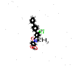 CCN(C(=O)c1ccc(Cl)c(-c2ccc(-c3ccccc3)cc2)c1)c1ccc2c(c1)OCO2